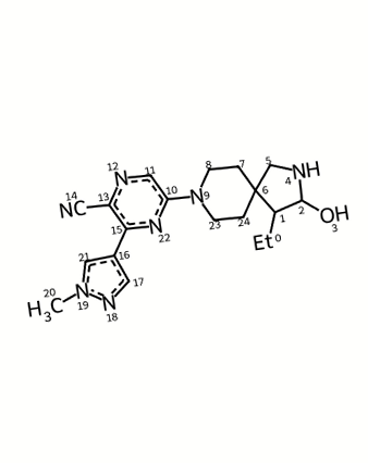 CCC1C(O)NCC12CCN(c1cnc(C#N)c(-c3cnn(C)c3)n1)CC2